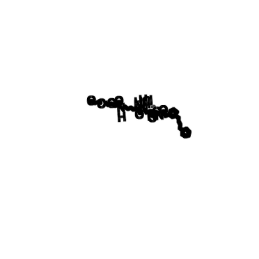 COCCOCCOCC(=O)NCCCC[C@H](N)C(=O)NCCC(=O)ONC(=O)Cc1cccc(CCCCc2ccccc2)c1.Cl